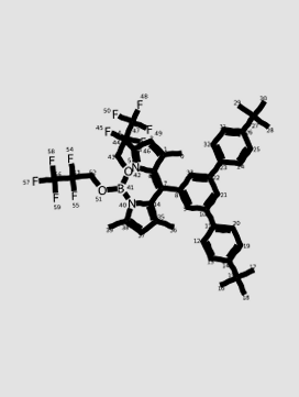 CC1=CC(C)=N/C1=C(/c1cc(-c2ccc(C(C)(C)C)cc2)cc(-c2ccc(C(C)(C)C)cc2)c1)c1c(C)cc(C)n1B(OCC(F)(F)C(F)(F)F)OCC(F)(F)C(F)(F)F